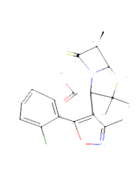 Cc1noc(-c2ccccc2Cl)c1[C@@]1(C(=O)O)N2C(=S)[C@@H](C)[C@H]2SC1(C)C